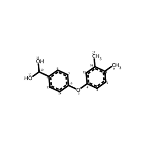 Cc1ccc(Oc2ccc(C(O)O)cc2)cc1C